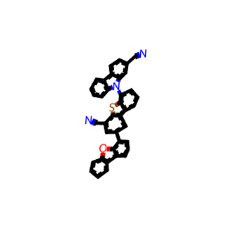 N#Cc1ccc2c3ccccc3n(-c3cccc4c3sc3c(C#N)cc(-c5cccc6c5oc5ccccc56)cc34)c2c1